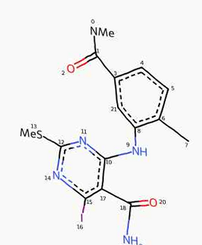 CNC(=O)c1ccc(C)c(Nc2nc(SC)nc(I)c2C(N)=O)c1